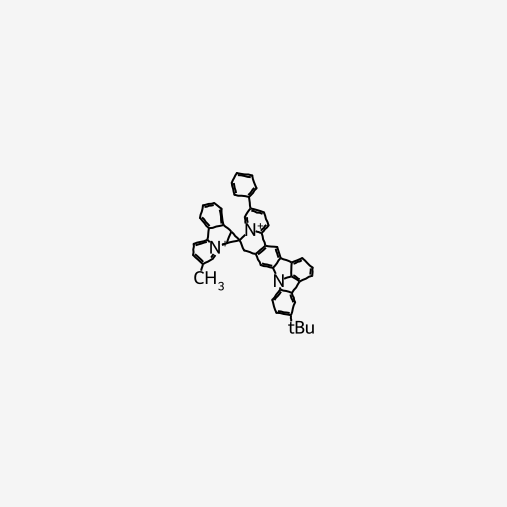 Cc1ccc2[n+](c1)C1C(c3ccccc3-2)C12Cc1cc3c(cc1-c1ccc(-c4ccccc4)c[n+]12)c1cccc2c4cc(C(C)(C)C)ccc4n3c21